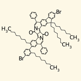 CCCCCCCCc1cc(Br)ccc1-c1cc2c(cc1CCCCCCCC)C1=C3C(=O)N4C=C(c5ccccc5)c5cc6c(cc5C4=C3C(=O)N1C=C2c1ccccc1)C(CCCCCCCC)(CCCCCCCC)c1cc(Br)ccc1-6